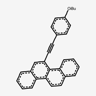 CC(C)COc1ccc(C#Cc2cc3ccccc3c3ccc4ccccc4c23)cc1